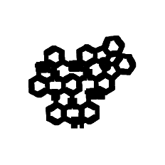 CC(C)c1cccc2c1N(c1ccccc1C(C)(C)C)c1cc(N(c3cccc4c3oc3ccccc34)c3cccc4c3oc3ccccc34)cc3c1B2c1cccc(C(C)(C)C)c1N3c1ccccc1C(C)(C)C